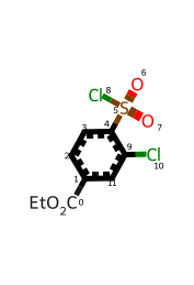 CCOC(=O)c1ccc(S(=O)(=O)Cl)c(Cl)c1